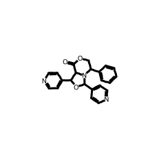 O=C1OCC(c2ccccc2)N2C(c3ccncc3)OC(c3ccncc3)C12